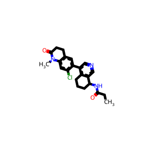 CCC(=O)NC1CCCc2c(-c3cc4c(cc3Cl)N(C)C(=O)CC4)cncc21